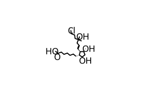 CC(O)(CC=C[C@@H]1[C@@H](CCCCCCC(=O)O)[C@@H](O)C[C@H]1O)CCCCl